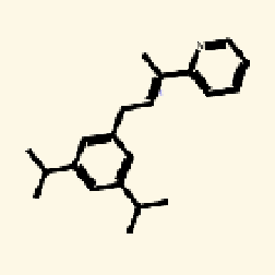 C/C(=C\Cc1cc(C(C)C)cc(C(C)C)c1)c1ccccn1